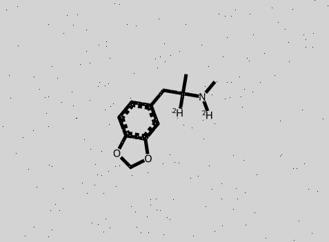 [2H]N(C)C([2H])(C)Cc1ccc2c(c1)OCO2